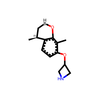 Cc1c(OC2CNC2)ccc2c1OBC[C@@H]2C